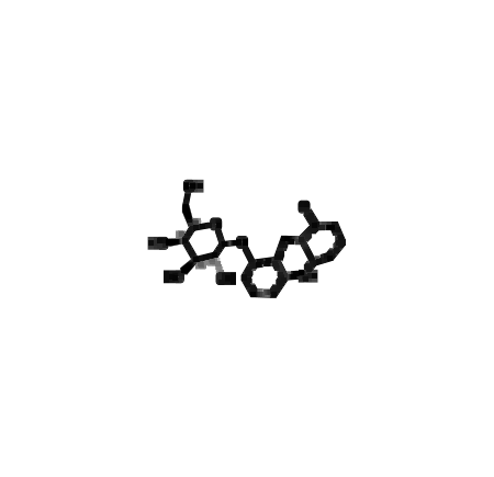 O=c1cccc2[nH]c3cccc(OC4O[C@H](CO)[C@H](O)[C@H](O)[C@H]4O)c3cc1-2